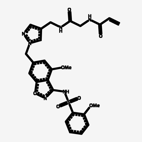 C=CC(=O)NCC(=O)NCc1cnn(Cc2cc(OC)c3c(NS(=O)(=O)c4ccccc4OC)noc3c2)c1